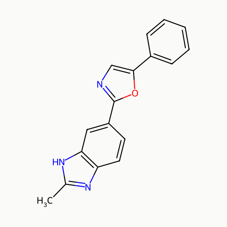 Cc1nc2ccc(-c3ncc(-c4ccccc4)o3)cc2[nH]1